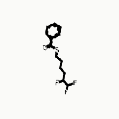 O=C(SCCCCC(F)C(F)F)c1ccccc1